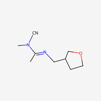 C/C(=N\CC1CCOC1)N(C)C#N